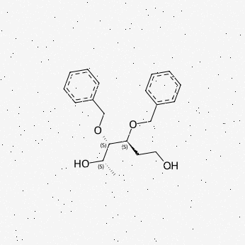 C[C@H](O)[C@H](OCc1ccccc1)[C@H](CCO)OCc1ccccc1